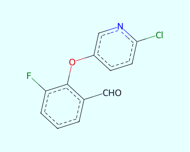 O=Cc1cccc(F)c1Oc1ccc(Cl)nc1